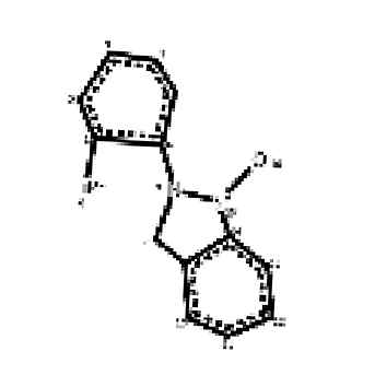 CC(C)c1ccccc1N1Cc2ccccc2[S+]1[O-]